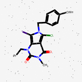 COc1ccc(Cn2c(Cl)c3c(=O)n(C)c(=O)n(CC(C)C)c3c2I)cc1